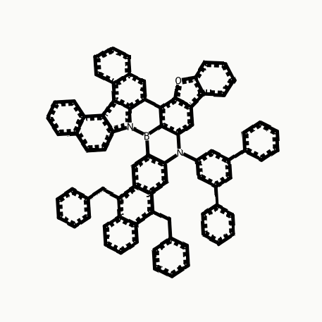 c1ccc(Cc2c3ccccc3c(Cc3ccccc3)c3cc4c(cc23)B2c3c(cc5c(oc6ccccc65)c3-c3cc5ccccc5c5c6c7ccccc7ccc6n2c35)N4c2cc(-c3ccccc3)cc(-c3ccccc3)c2)cc1